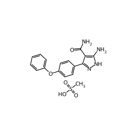 CS(=O)(=O)O.NC(=O)c1c(-c2ccc(Oc3ccccc3)cc2)n[nH]c1N